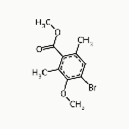 COC(=O)c1c(C)cc(Br)c(OC)c1C